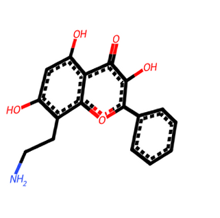 NCCc1c(O)cc(O)c2c(=O)c(O)c(-c3ccccc3)oc12